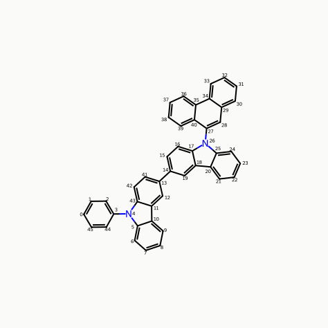 c1ccc(-n2c3ccccc3c3cc(-c4ccc5c(c4)c4ccccc4n5-c4cc5ccccc5c5ccccc45)ccc32)cc1